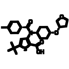 CC1=CC[C@H](C(=O)N(c2cc(C(C)(C)C)sc2C(=O)O)[C@H]2CC[C@H](O[C@H]3CCOC3)CC2)CC1